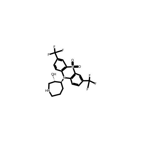 O=S1(=O)c2cc(C(F)(F)F)ccc2N([C@H]2CCCNC[C@@H]2O)c2ccc(C(F)(F)F)cc21